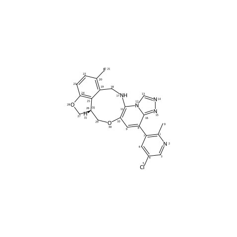 Cc1ncc(Cl)cc1-c1cc2c(n3cnnc13)NCc1c(F)ccc3c1[C@@H](CO3)CO2